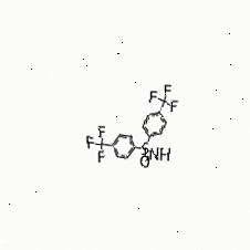 FC(F)(F)c1ccc(S2(c3ccc(C(F)(F)F)cc3)NO2)cc1